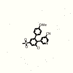 COc1ccc(-c2cc(S(C)(=O)=O)cc(Cl)c2-c2cncc(C#N)c2)cc1